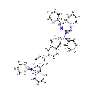 C1=CC(c2ccc3c(ccc4c3c3ccccc3n4-c3nc(-c4ccccc4)c4ccccc4n3)c2)Cc2c1n(-c1ccccc1)c1ccccc21